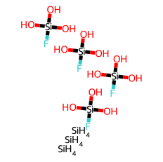 O[Si](O)(O)F.O[Si](O)(O)F.O[Si](O)(O)F.O[Si](O)(O)F.[SiH4].[SiH4].[SiH4]